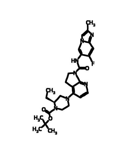 CC[C@H]1CN(c2ccnc3c2CCN3C(=O)Nc2cn3cc(C)nc3cc2F)CCN1C(=O)OC(C)(C)C